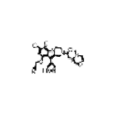 CN1CCOC[C@H]1CC(=O)N1CCn2c(c(-c3cn[nH]c3)c3c(OCC#N)cc(Cl)c(Cl)c32)C1